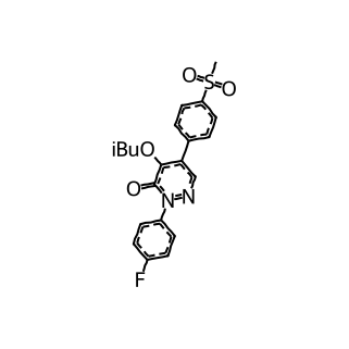 CC(C)COc1c(-c2ccc(S(C)(=O)=O)cc2)cnn(-c2ccc(F)cc2)c1=O